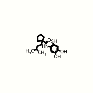 CC(C)CCC1(C(=O)Nc2cc(O)c(O)cc2S)CCCC1